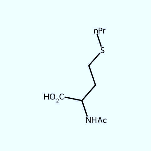 CCCSCCC(NC(C)=O)C(=O)O